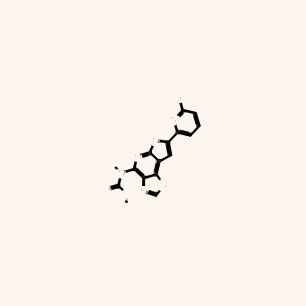 CCN(C(=O)OC(C)(C)C)c1nc2[nH]c(-c3cccc(NC(C)=O)n3)cc2c2[nH]cnc12